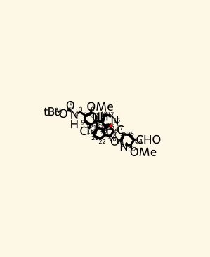 COC1=C(CNC(=O)OC(C)(C)C)C=C(Cl)C(c2ccncc2)(c2cccc3c2CC[C@@H]3Oc2nc(OC)c(C=O)cc2C(F)(F)F)N1